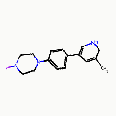 CC1=CC(c2ccc(N3CCN(I)CC3)cc2)=CNC1